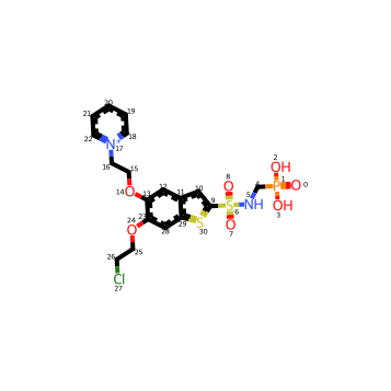 O=P(O)(O)CNS(=O)(=O)c1cc2cc(OCC[n+]3ccccc3)c(OCCCl)cc2s1